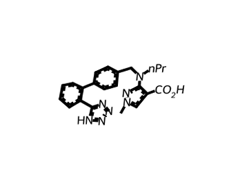 CCCN(Cc1ccc(-c2ccccc2-c2nnn[nH]2)cc1)c1nn(C)cc1C(=O)O